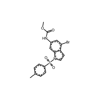 COC(=O)Nc1cc(Br)c2ccn(S(=O)(=O)c3ccc(C)cc3)c2c1